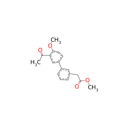 COC(=O)Cc1cccc(-c2ccc(OC)c(C(C)=O)c2)c1